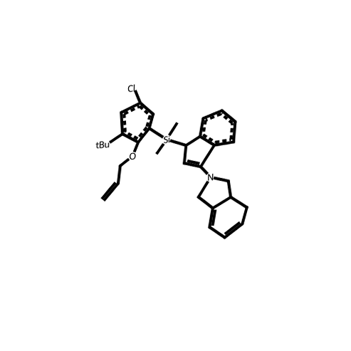 C=CCOc1c(C(C)(C)C)cc(Cl)cc1[Si](C)(C)C1C=C(N2CC3=CC=CCC3C2)c2ccccc21